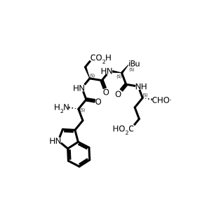 CC[C@H](C)[C@H](NC(=O)[C@H](CC(=O)O)NC(=O)[C@@H](N)Cc1c[nH]c2ccccc12)C(=O)N[C@H]([C]=O)CCC(=O)O